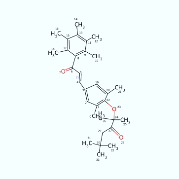 Cc1cc(/C=C/C(=O)c2c(C)c(C)c(C)c(C)c2C)cc(C)c1OC(C)(C)C(=O)CC(C)(C)C